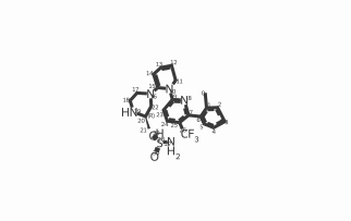 Cc1ccccc1-c1nc(N2CC=CC=C2N2CCN[C@H](C)C2)ccc1C(F)(F)F.N[SH](=O)=O